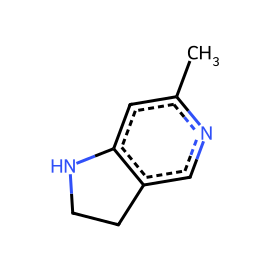 Cc1cc2c(cn1)CCN2